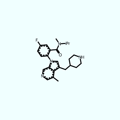 Cc1cncc2c1c(CC1CCNCC1)cn2-c1ccc(F)cc1C(=O)N(C)C(C)C